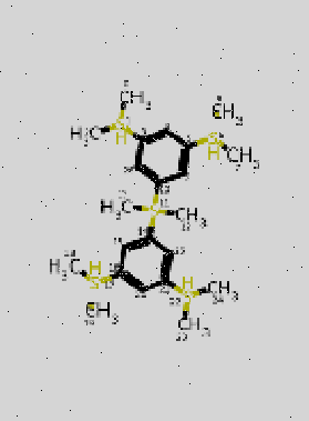 C[SH](C)c1cc([SH](C)C)cc(S(C)(C)c2cc([SH](C)C)cc([SH](C)C)c2)c1